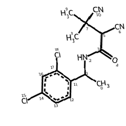 CC(NC(=O)C(C#N)C(C)(C)C#N)c1ccc(Cl)cc1Cl